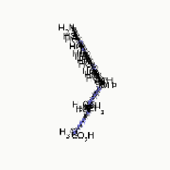 C\C(=C/C=C/C=C/C=C/C=C/CC/C=C/C(C)C(O)C(C)C(O)/C=C/C=C/C=C/C=C/C=C/CC(O)C(C)C(=O)CC(O)CC(O)CC(O)/C=C/CC(O)CC(O)CC(O)CC(O)/C=C/CC(O)/C=C/CC(O)CC(O)CCCN)C(=O)O